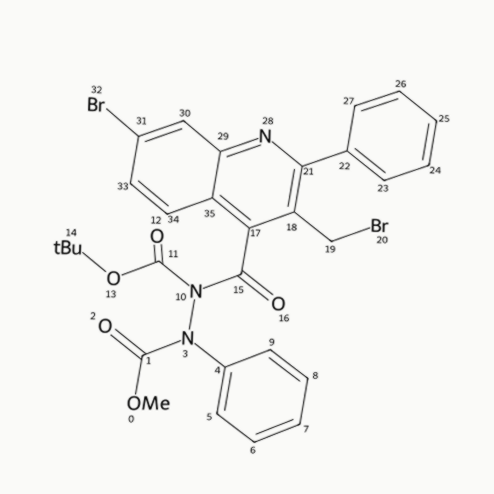 COC(=O)N(c1ccccc1)N(C(=O)OC(C)(C)C)C(=O)c1c(CBr)c(-c2ccccc2)nc2cc(Br)ccc12